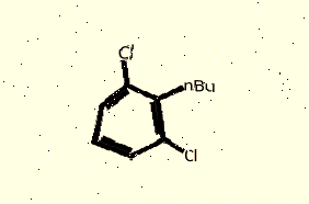 CCCCc1c(Cl)[c]ccc1Cl